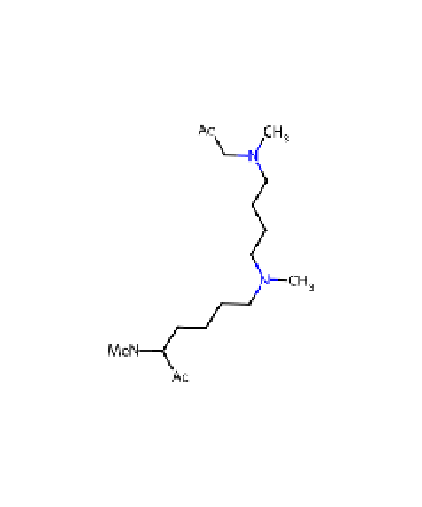 CNC(CCCCN(C)CCCCN(C)CC(C)=O)C(C)=O